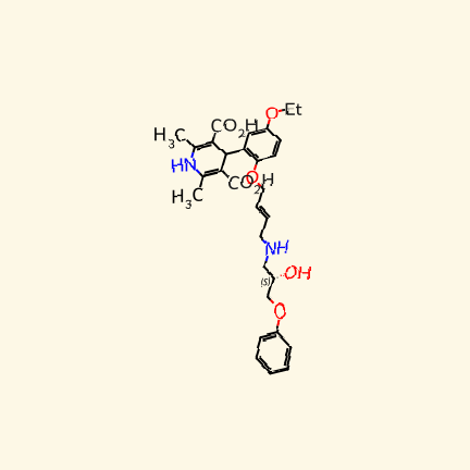 CCOc1ccc(OCC=CCNC[C@H](O)COc2ccccc2)c(C2C(C(=O)O)=C(C)NC(C)=C2C(=O)O)c1